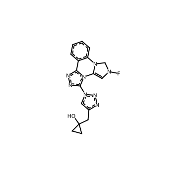 OC1(Cc2cn(-c3nnc4n3C3=CN(F)CN3c3ccccc3-4)nn2)CC1